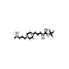 CNCCCN1CCN(CCCNC(=O)OC(C)(C)C)CC1